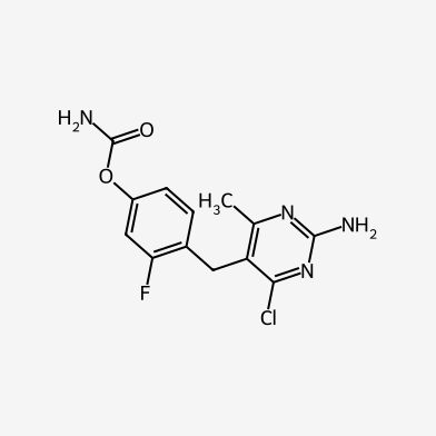 Cc1nc(N)nc(Cl)c1Cc1ccc(OC(N)=O)cc1F